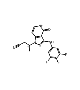 C[C@@H](CC#N)n1nc(Nc2cc(F)c(F)c(F)c2)c2c(=O)[nH]ccc21